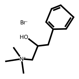 C[N+](C)(C)CC(O)Cc1ccccc1.[Br-]